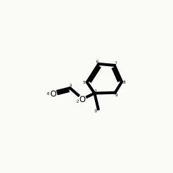 CC1(OC=O)C=CC=CC1